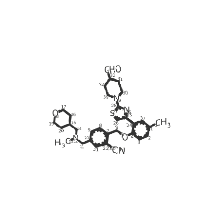 Cc1ccc(OCc2ccc(CN(C)CC3CCOCC3)cc2C#N)c(-c2csc(N3CCC(C=O)CC3)n2)c1